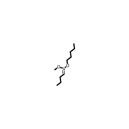 CCCCCO[SiH](CCCC)OC